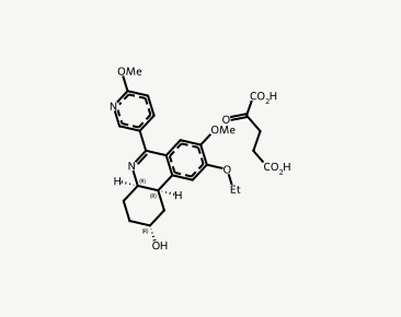 CCOc1cc2c(cc1OC)C(c1ccc(OC)nc1)=N[C@@H]1CC[C@@H](O)C[C@H]21.O=C(O)CCC(=O)C(=O)O